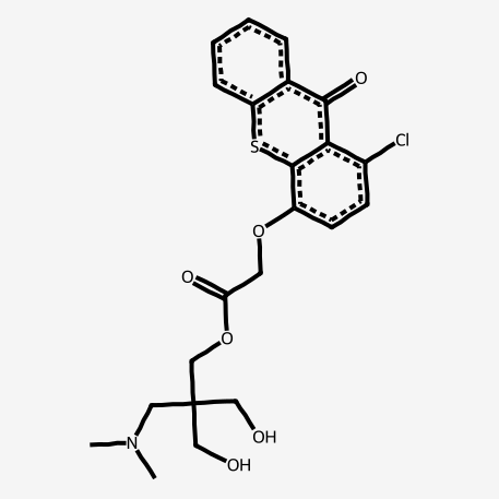 CN(C)CC(CO)(CO)COC(=O)COc1ccc(Cl)c2c(=O)c3ccccc3sc12